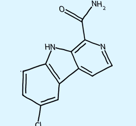 NC(=O)c1nccc2c1[nH]c1[c]cc(Cl)cc12